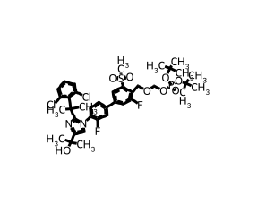 CC(C)(C)OP(=O)(OCOCc1c(F)cc(-c2ccc(-n3cc(C(C)(C)O)nc3C(C)(C)c3c(Cl)cccc3Cl)c(F)c2)cc1S(C)(=O)=O)OC(C)(C)C